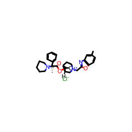 Cc1ccc2oc(C[N+]34CCC(CC3)[C@@H](OC(=O)[C@](C)(c3ccccc3)N3CCCCC3)C4)nc2c1.[Cl-]